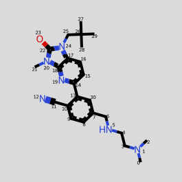 CN(C)CCNCc1ccc(C#N)c(-c2ccc3c(n2)n(C)c(=O)n3CC(C)(C)C)c1